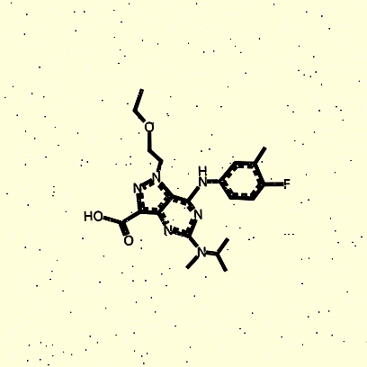 CCOCCn1nc(C(=O)O)c2nc(N(C)C(C)C)nc(Nc3ccc(F)c(C)c3)c21